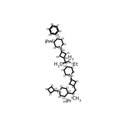 CC[C@@H]1CN(C2CC(C[C@H](C)C3CCN(C4CCC4)C[C@H]3C(C)C)C2)CC[C@@H]1C(C)(C)C1CC(N2CC[C@@H](c3ccccc3)[C@H](C(C)C)C2)C1